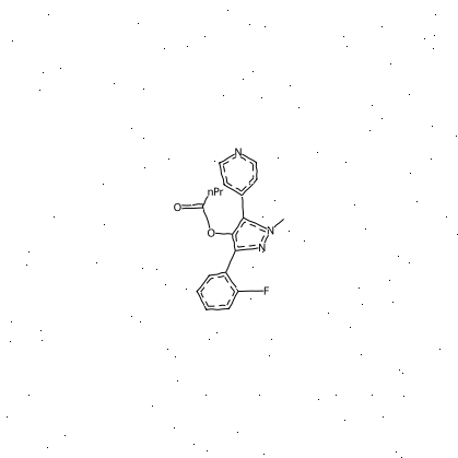 CCCC(=O)Oc1c(-c2ccccc2F)nn(C)c1-c1ccncc1